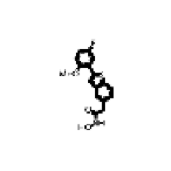 COc1ccc(F)cc1-c1cc2cc(CC(=O)NO)ccc2s1